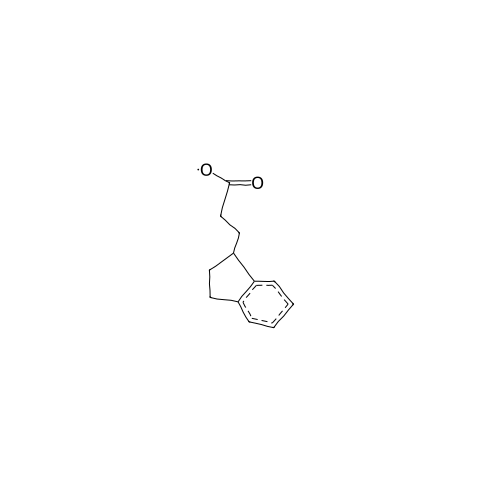 [O]C(=O)CCC1CCc2ccccc21